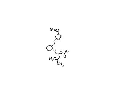 CCC(=O)OC(COc1ccccc1CCc1cccc(OC)c1)CN(C)C